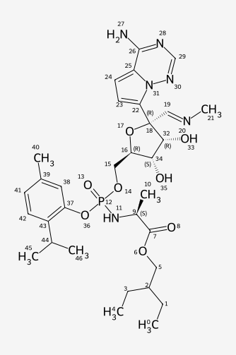 CCC(CC)COC(=O)[C@H](C)NP(=O)(OC[C@H]1O[C@@](C=NC)(c2ccc3c(N)ncnn23)[C@H](O)[C@@H]1O)Oc1cc(C)ccc1C(C)C